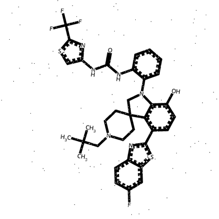 CC(C)(C)CN1CCC2(CC1)CN(c1ccccc1NC(=O)Nc1csc(C(F)(F)F)n1)c1c(O)ccc(-c3nc4ccc(F)cc4s3)c12